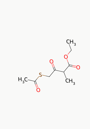 CCOC(=O)C(C)C(=O)CSC(C)=O